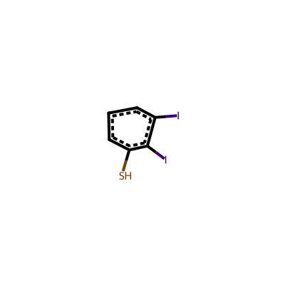 Sc1cccc(I)c1I